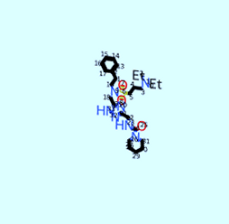 CCN(CC)CCCS(=O)(=O)N(CCc1ccccc1)Cc1nc(CNC(=O)N2CCCCC2)n[nH]1